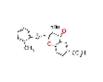 CCCCc1c(/C=C/c2ccccc2C)oc2ccc(C(=O)O)cc2c1=O